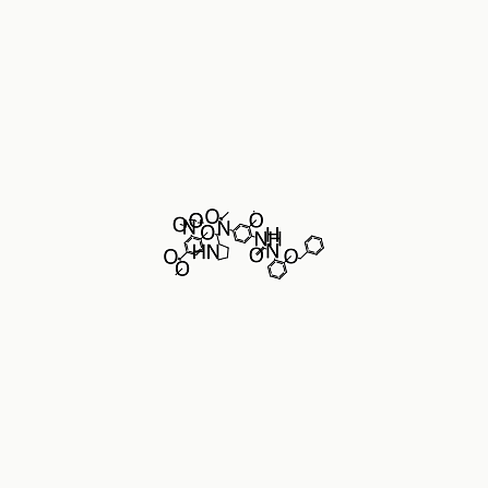 COC(=O)c1ccc(OC(C2CCCN2)N(C(C)=O)c2ccc(NC(=O)Nc3ccccc3OCc3ccccc3)c(OC)c2)c([N+](=O)[O-])c1